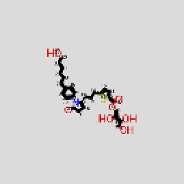 O=C(OC[C@H](O)[C@@H](O)CO)c1ccc(CCC[C@H]2CCC(=O)N2c2ccc(CCCCCCO)cc2)s1